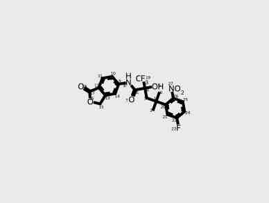 CC(C)(CC(O)(C(=O)Nc1ccc2c(c1)COC2=O)C(F)(F)F)c1cc(F)ccc1[N+](=O)[O-]